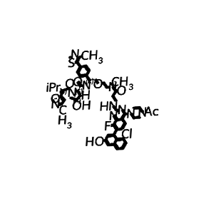 CC(=O)N1CCN(c2nc(NCCC(=O)N(C)CCOC[C@H](NC(=O)[C@@H]3C[C@@H](O)CN3C(=O)[C@H](c3cc(C)no3)C(C)C)c3ccc(-c4scnc4C)cc3)nc3c(F)c(-c4cc(O)cc5ccccc45)c(Cl)cc23)CC1